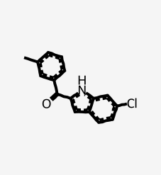 Cc1cccc(C(=O)c2cc3ccc(Cl)cc3[nH]2)c1